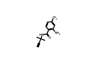 C#CC(C)(C)NC(=O)c1ccc(C(F)(F)F)cc1N